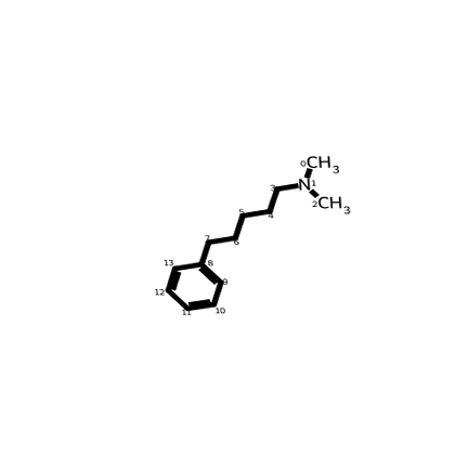 CN(C)[CH]CCCCc1ccccc1